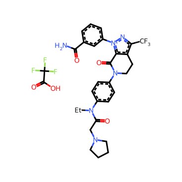 CCN(C(=O)CN1CCCC1)c1ccc(N2CCc3c(C(F)(F)F)nn(-c4cccc(C(N)=O)c4)c3C2=O)cc1.O=C(O)C(F)(F)F